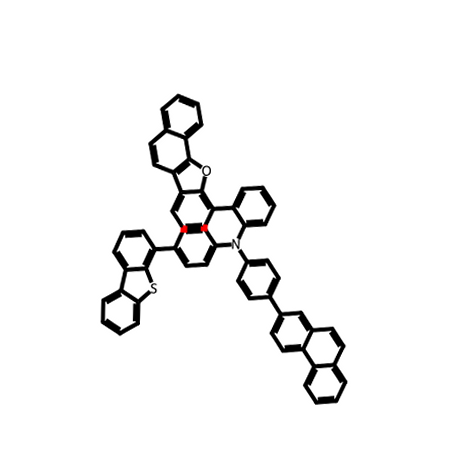 c1ccc(N(c2ccc(-c3ccc4c(ccc5ccccc54)c3)cc2)c2ccc(-c3cccc4c3sc3ccccc34)cc2)c(-c2cccc3c2oc2c4ccccc4ccc32)c1